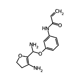 C=CC(=O)Nc1cccc(OC(N)C2=C(N)CCO2)c1